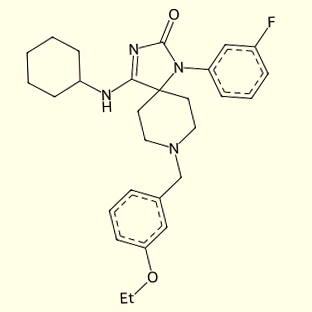 CCOc1cccc(CN2CCC3(CC2)C(NC2CCCCC2)=NC(=O)N3c2cccc(F)c2)c1